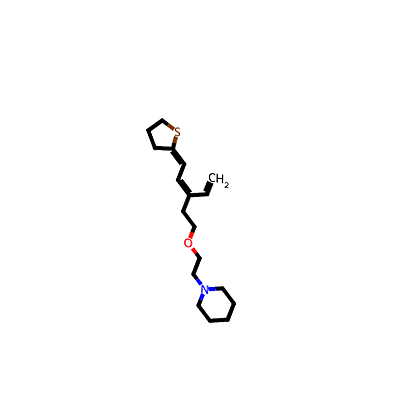 C=C/C(=C\C=C1/CCCS1)CCOCCN1CCCCC1